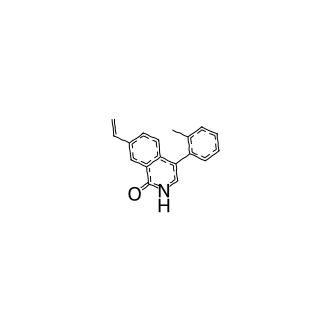 C=Cc1ccc2c(-c3ccccc3C)c[nH]c(=O)c2c1